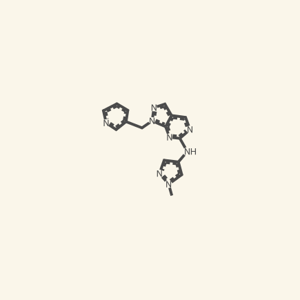 Cn1cc(Nc2ncc3cnn(Cc4cccnc4)c3n2)cn1